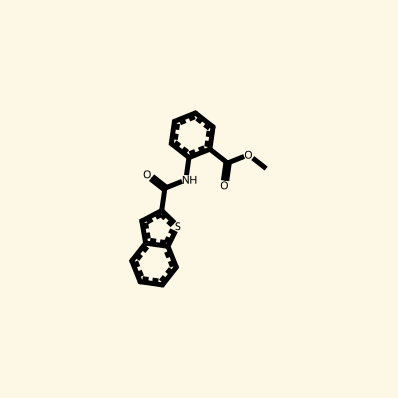 COC(=O)c1ccccc1NC(=O)c1cc2ccccc2s1